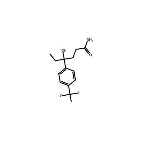 CCC(O)(CCC(N)=O)c1ccc(C(F)(F)F)cc1